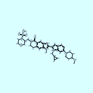 COC1CCN(c2ccc3cc(-c4nc5cc6c(cc5n4C)CCN(C[C@H]4COCCN4S(=O)(=O)O)C6=O)n(CC4CC4)c3c2)CC1